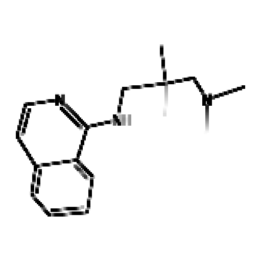 CN(C)CC(C)(C)CNc1nccc2ccccc12